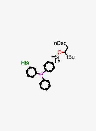 Br.CCCCCCCCCCCC(O[SiH](C)C)C(C)(C)C.c1ccc(P(c2ccccc2)c2ccccc2)cc1